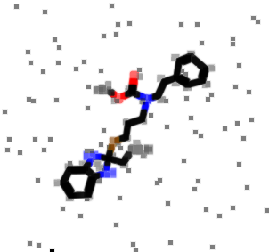 CCCCOC(=O)N(CCCSC1(CC(=O)O)Nc2ccccc2N1)CCc1ccccc1